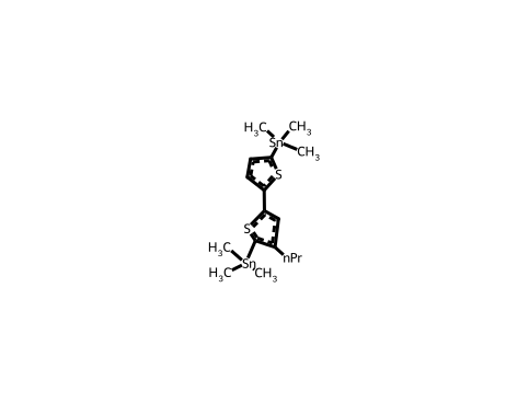 CCCc1cc(-c2cc[c]([Sn]([CH3])([CH3])[CH3])s2)s[c]1[Sn]([CH3])([CH3])[CH3]